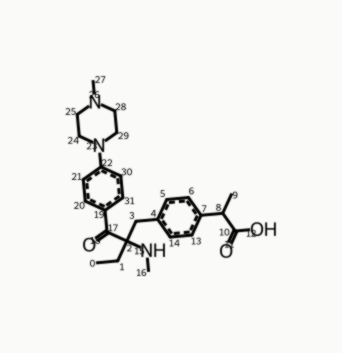 CCC(Cc1ccc(C(C)C(=O)O)cc1)(NC)C(=O)c1ccc(N2CCN(C)CC2)cc1